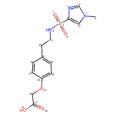 Cn1cnc(S(=O)(=O)NCCc2ccc(OCC(=O)O)cc2)c1